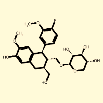 COc1cc2c(cc1O)C[C@H](CO)[C@@H](CO[C@@H]1OC[C@@H](O)[C@H](O)[C@H]1O)[C@@H]2c1ccc(F)c(OC)c1